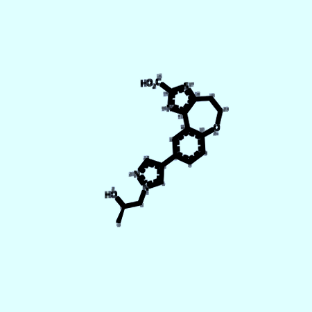 C[C@@H](O)Cn1cc(-c2ccc3c(c2)-c2nc(C(=O)O)sc2CCO3)cn1